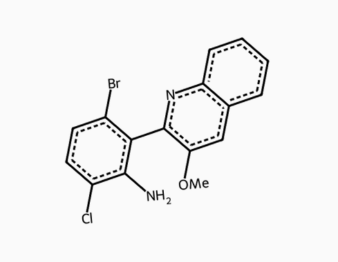 COc1cc2ccccc2nc1-c1c(Br)ccc(Cl)c1N